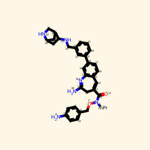 CCCN(OCc1ccc(N)cc1)C(=O)C1=Cc2ccc(-c3cccc(CNC4CC5CC4CN5)c3)cc2N=C(N)C1